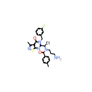 CCC(c1nc2snc(C)c2c(=O)n1Cc1cccc(F)c1)N(CCCN)C(=O)c1ccc(C)cc1